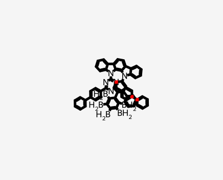 Bc1c(B)c(B)c(-c2ccc(-n3c4ccccc4c4ccc5c6ccccc6n(-c6nc(-c7ccc(-c8ccccc8)cc7)nc(-c7ccc(-c8ccccc8)cc7)n6)c5c43)cc2-c2ccccc2)c(B)c1B